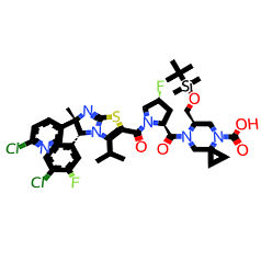 CC(C)C1=C(C(=O)N2C[C@H](F)C[C@H]2C(=O)N2CC3(CC3)N(C(=O)O)C[C@@H]2CO[Si](C)(C)C(C)(C)C)SC2=N[C@@](C)(c3ccc(Cl)nc3)[C@@H](c3ccc(Cl)c(F)c3)N21